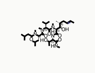 C/C=C/C[C@@H](C)[C@@H](O)[C@@H](C(=O)N[C@H](C(=O)NC)C(C)O)N(C)C(=O)[C@H](C(C)C)N(C)C(=O)[C@H](CC(C)C)N(C)C(=O)CC(C)C